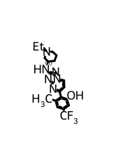 CCN1CCC[C@@H](Nc2nc3nc(-c4c(C)cc(C(F)(F)F)cc4O)ccn3n2)C1